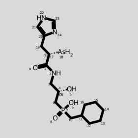 O=C(NC[C@H](O)CP(=O)(O)CC1CCCCC1)[C@@H]([AsH2])Cc1c[nH]cn1